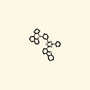 c1ccc(-c2nc(-c3cccc(N4c5ccccc5-c5cccc6cccc4c56)c3)nc(-c3cccc4c3sc3ccccc34)n2)cc1